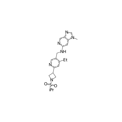 CCc1cc(C2CN(S(=O)(=O)C(C)C)C2)ncc1CNc1cc2c(cn1)ncn2C